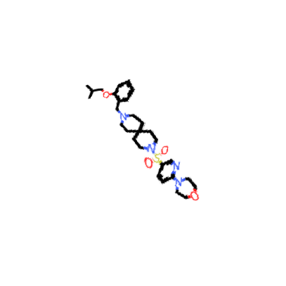 CC(C)COc1ccccc1CN1CCC2(CC1)CCN(S(=O)(=O)c1ccc(N3CCOCC3)nc1)CC2